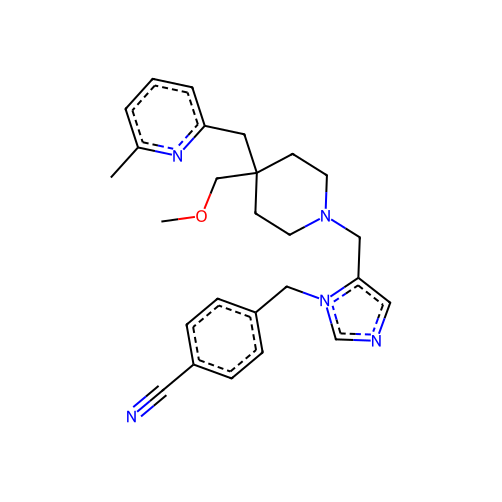 COCC1(Cc2cccc(C)n2)CCN(Cc2cncn2Cc2ccc(C#N)cc2)CC1